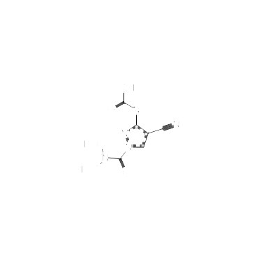 CC(=O)Nc1nn(C(=O)N(C)C)cc1C#N